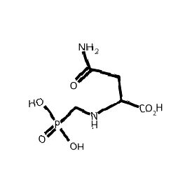 NC(=O)CC(NCP(=O)(O)O)C(=O)O